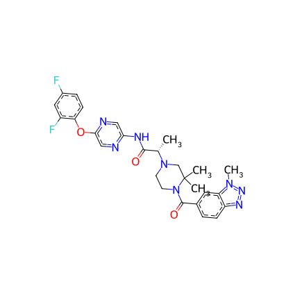 C[C@@H](C(=O)Nc1cnc(Oc2ccc(F)cc2F)cn1)N1CCN(C(=O)c2ccc3nnn(C)c3c2)C(C)(C)C1